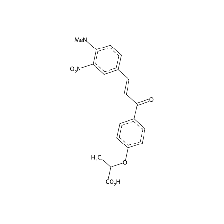 CNc1ccc(C=CC(=O)c2ccc(OC(C)C(=O)O)cc2)cc1[N+](=O)[O-]